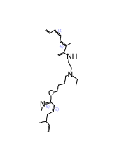 C=C/C=C\C=C(/C)C(=C)NCCN(CC)CCCCOC(/C=C\CC(C)C=C)=N/C